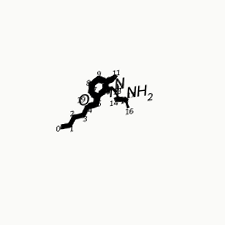 CCCCc1cc2c(ccc3cnn(C[C@H](C)N)c32)o1